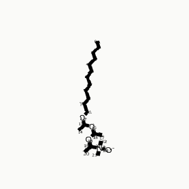 CCCCCCCCCCCCOC(C)OC(C)OC(C)[N+](C)(C)[O-]